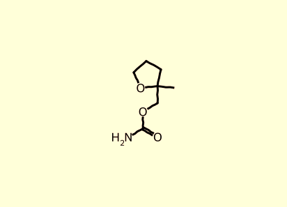 CC1(COC(N)=O)CCCO1